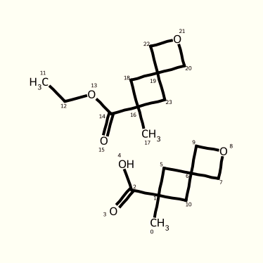 CC1(C(=O)O)CC2(COC2)C1.CCOC(=O)C1(C)CC2(COC2)C1